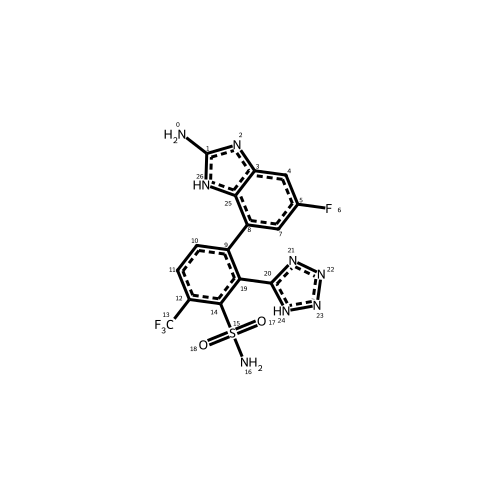 Nc1nc2cc(F)cc(-c3ccc(C(F)(F)F)c(S(N)(=O)=O)c3-c3nnn[nH]3)c2[nH]1